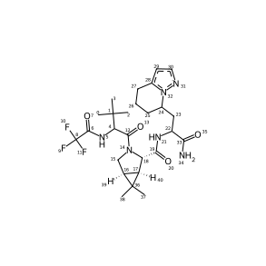 CC(C)(C)C(NC(=O)C(F)(F)F)C(=O)N1C[C@H]2[C@@H]([C@H]1C(=O)NC(CC1CCCc3ccnn31)C(N)=O)C2(C)C